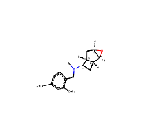 COc1ccc(CN(C)[C@H]2C[C@@H]3[C@H]2C[C@H]2O[C@@H]32)c(OC)c1